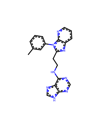 Cc1cccc(-n2c(CCNc3ncnc4[nH]cnc34)nc3cccnc32)c1